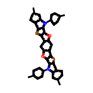 Cc1ccc(-n2c3cc(C)ccc3c3sc4c5cc6oc7c(sc8c9ccc(C)cc9n(-c9ccc(C)cc9)c78)c6cc5oc4c32)cc1